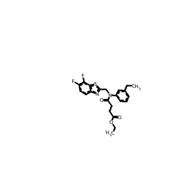 CCOC(=O)CCC(=O)N(Cc1nc2ccc(F)c(F)c2s1)c1cccc(CC)c1